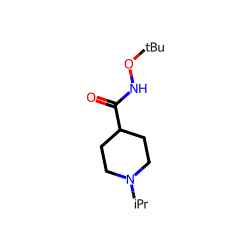 CC(C)N1CCC(C(=O)NOC(C)(C)C)CC1